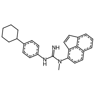 CN(C(=N)Nc1ccc(C2CCCCC2)cc1)c1ccc2cccc3c2c1C=C3